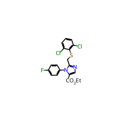 CCOC(=O)c1cnc(CSc2c(Cl)cccc2Cl)n1-c1ccc(F)cc1